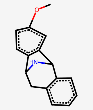 COc1ccc2c(c1)C1NC2Cc2ccccc21